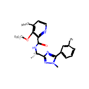 CCOC(=O)Oc1c(OC)ccnc1C(=O)N[C@@H](C)c1nc(-c2cccc(C(C)C)c2)n(C)n1